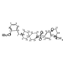 CC(C)COc1ccccc1CN1CCC2(CC1)CCN(S(=O)(=O)c1ccc3c(c1)OCCN3C)CC2